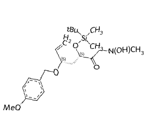 C=C[C@H](C[C@H](O[Si](C)(C)C(C)(C)C)C(=O)CN(C)O)OCc1ccc(OC)cc1